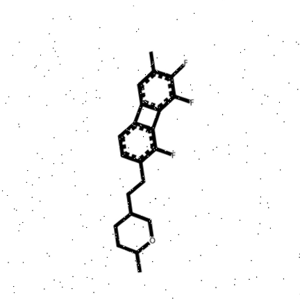 Cc1cc2c(c(F)c1F)-c1c-2ccc(CCC2CCC(C)OC2)c1F